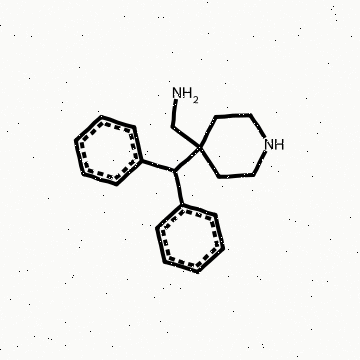 NCC1(C(c2ccccc2)c2ccccc2)CCNCC1